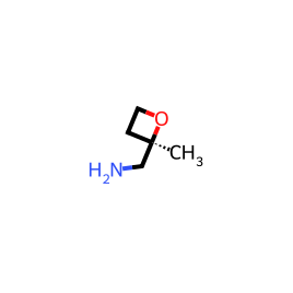 C[C@]1(CN)CCO1